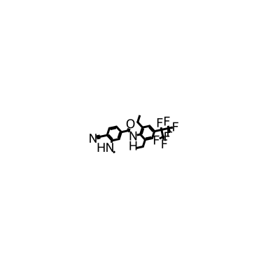 CCc1cc(C(F)(C(F)(F)F)C(F)(F)F)cc(CC)c1NC(=O)c1ccc(C#N)c(NC)c1